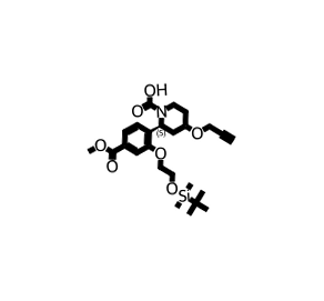 C#CCOC1CCN(C(=O)O)[C@H](c2ccc(C(=O)OC)cc2OCCO[Si](C)(C)C(C)(C)C)C1